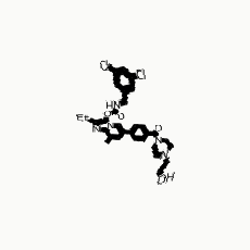 CCc1nc2c(C)cc(-c3ccc(C(=O)N4CCN(CCO)CC4)cc3)cn2c1OC(=O)NCc1cc(Cl)cc(Cl)c1